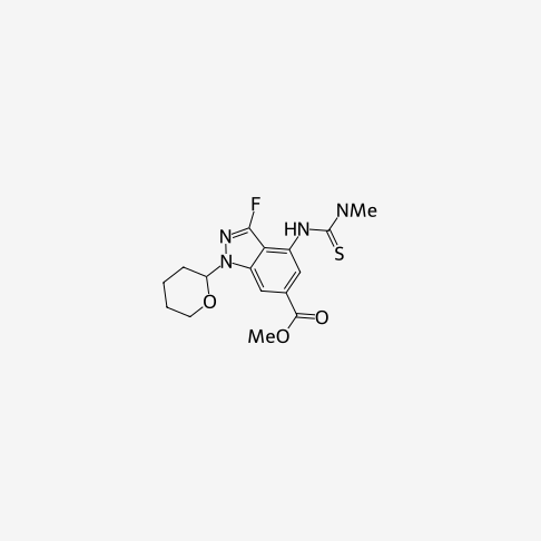 CNC(=S)Nc1cc(C(=O)OC)cc2c1c(F)nn2C1CCCCO1